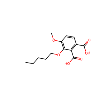 CCCCCOc1c(OC)ccc(C(=O)O)c1C(=O)O